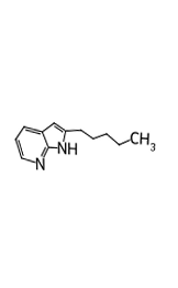 CCCCCc1cc2cccnc2[nH]1